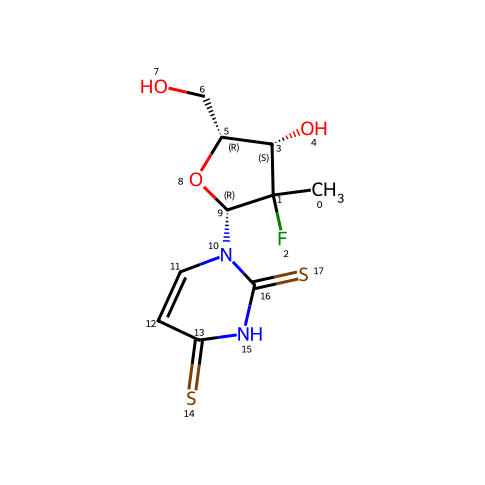 CC1(F)[C@@H](O)[C@@H](CO)O[C@H]1n1ccc(=S)[nH]c1=S